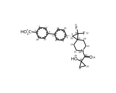 O=C(O)c1ccc(-c2ccc([C@@H]3C(F)(F)C34CCN(C(=O)C3(O)CC3)CC4)cc2)cc1